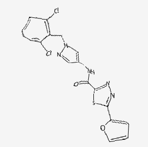 O=C(Nc1cnn(Cc2c(Cl)cccc2Cl)c1)c1nnc(-c2ccco2)s1